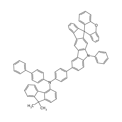 CC1(C)c2ccccc2-c2c(N(c3ccc(-c4ccccc4)cc3)c3ccc(-c4ccc5c(c4)c4cc6c(cc4n5-c4ccccc4)C4(c5ccccc5Oc5ccccc54)c4ccccc4-6)cc3)cccc21